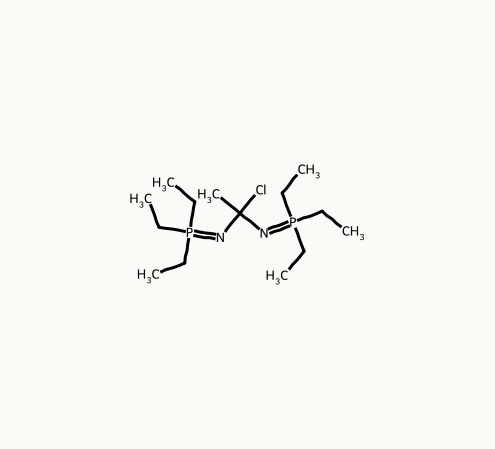 CCP(CC)(CC)=NC(C)(Cl)N=P(CC)(CC)CC